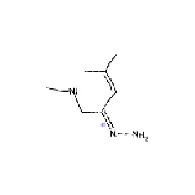 CNC/C(C=C(C)C)=N/N